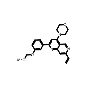 C=Cc1cc2nc(-c3cccc(OCOC)c3)cc(N3CCOCC3)c2cn1